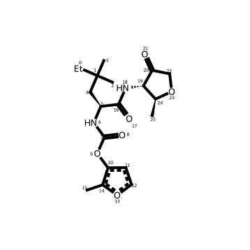 CCC(C)(C)C[C@H](NC(=O)Oc1ccoc1C)C(=O)N[C@@H]1C(=O)CO[C@H]1C